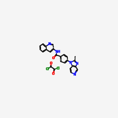 Cc1nc2cnccc2n1-c1ccc(C(=O)Nc2cnc3ccccc3c2)cc1.O=C(Cl)C(=O)Cl